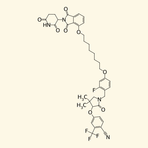 CC1(C)CN(Cc2ccc(OCCCCCCCCOc3cccc4c3C(=O)N(C3CCC(=O)NC3=O)C4=O)cc2F)C(=O)C1Oc1ccc(C#N)c(C(F)(F)F)c1